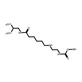 CCCCCCCCC(CCCCCCCC)CNC(=O)CCCCCNCCNC(=O)OC(C)(C)C